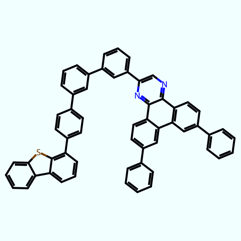 c1ccc(-c2ccc3c(c2)c2cc(-c4ccccc4)ccc2c2nc(-c4cccc(-c5cccc(-c6ccc(-c7cccc8c7sc7ccccc78)cc6)c5)c4)cnc32)cc1